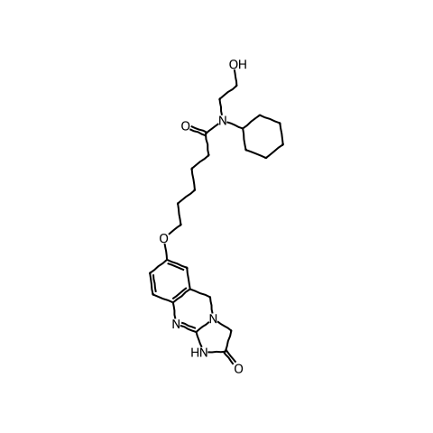 O=C1CN2Cc3cc(OCCCCCC(=O)N(CCO)C4CCCCC4)ccc3N=C2N1